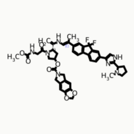 C=C(N/C=C(\C)c1ccc2c(c1)C(F)(F)c1cc(-c3c[nH]c(C4CCCN4C)n3)ccc1-2)[C@@H]1CC(OC(=O)N2Cc3cc4c(cc3C2)OCO4)CN1C(=O)CNC(=O)OC